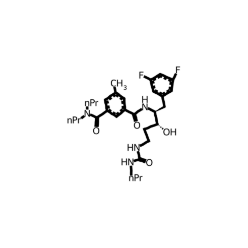 CCCNC(=O)NCC[C@@H](O)[C@H](Cc1cc(F)cc(F)c1)NC(=O)c1cc(C)cc(C(=O)N(CCC)CCC)c1